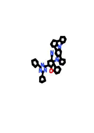 N#Cc1cc(-c2nc(-c3ccccc3)nc(-c3ccccc3)n2)c2oc3ccccc3c2c1-n1c2ccccc2c2cc3c(cc21)c1cccc2c4ccccc4n3c21